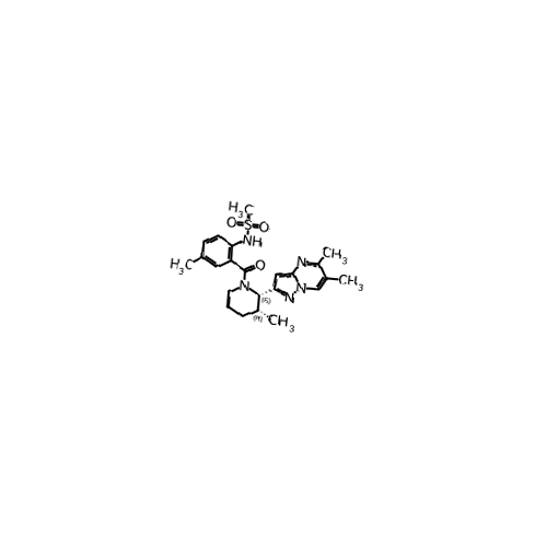 Cc1ccc(NS(C)(=O)=O)c(C(=O)N2CCC[C@@H](C)[C@H]2c2cc3nc(C)c(C)cn3n2)c1